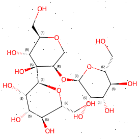 OC[C@H]1O[C@H](O[C@@H]2[CH]O[C@H](CO)[C@@H](O)[C@@]2(O)[C@H]2O[C@H](CO)[C@@H](O)[C@H](O)[C@@H]2O)[C@@H](O)[C@@H](O)[C@@H]1O